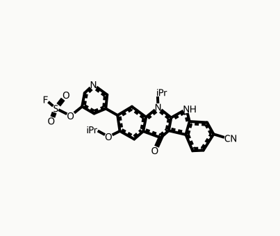 CC(C)Oc1cc2c(=O)c3c4ccc(C#N)cc4[nH]c3n(C(C)C)c2cc1-c1cncc(OS(=O)(=O)F)c1